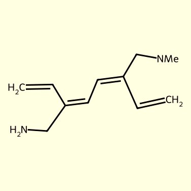 C=C/C(=C\C=C(/C=C)CNC)CN